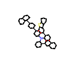 c1ccc(N(c2ccc(-c3ccc(-c4cccc5ccccc45)cc3)cc2)c2ccccc2-c2ccc3sc4ccccc4c3c2)c(-c2ccc3ccccc3c2)c1